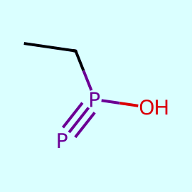 CCP(O)#P